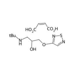 CC(C)(C)NCC(O)COc1cnsn1.O=C(O)/C=C\C(=O)O